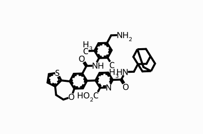 Cc1cc(CN)cc(C)c1NC(=O)c1cc2c(cc1-c1ccc(C(=O)NCC34CC5CC(CC(C5)C3)C4)nc1C(=O)O)OCCc1ccsc1-2